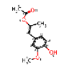 COc1cc(/C=C(\C)OC(C)=O)ccc1O